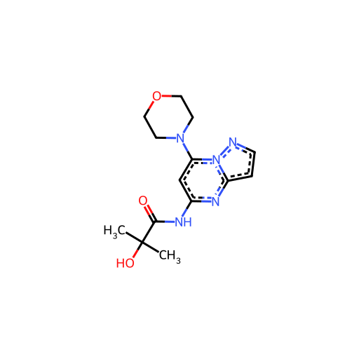 CC(C)(O)C(=O)Nc1cc(N2CCOCC2)n2nccc2n1